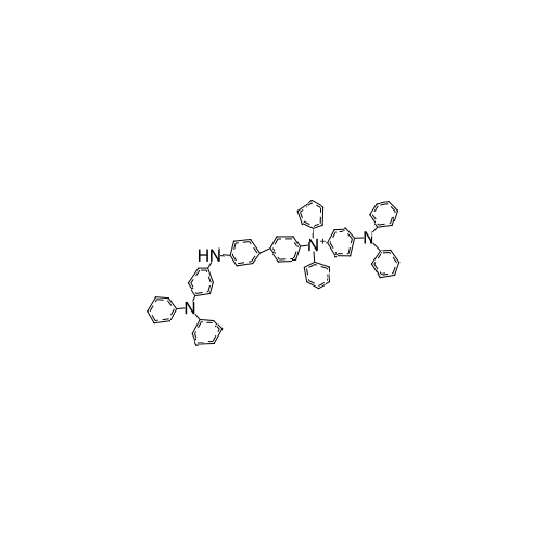 c1ccc(N(c2ccccc2)c2ccc(Nc3ccc(-c4ccc([N+](c5ccccc5)(c5ccccc5)c5ccc(N(c6ccccc6)c6ccccc6)cc5)cc4)cc3)cc2)cc1